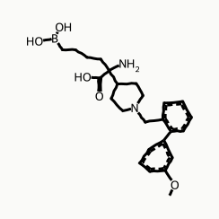 COc1cccc(-c2ccccc2CN2CCC(C(N)(CCCCB(O)O)C(=O)O)CC2)c1